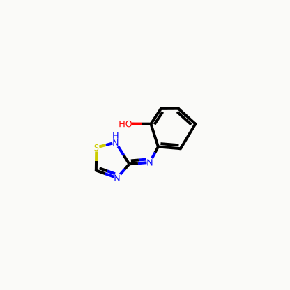 Oc1ccccc1N=c1ncs[nH]1